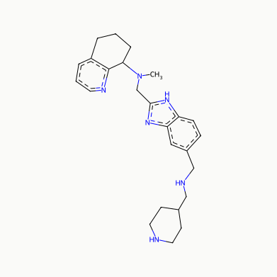 CN(Cc1nc2cc(CNCC3CCNCC3)ccc2[nH]1)C1CCCc2cccnc21